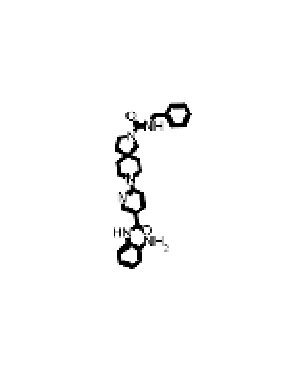 Nc1ccccc1NC(=O)c1ccc(N2CCC3(CCN(C(=O)NCc4ccccc4)C3)CC2)nc1